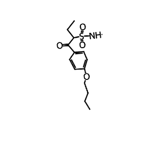 CCCCOc1ccc(C(=O)C(CC)S([NH])(=O)=O)cc1